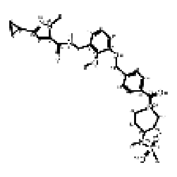 COc1c(CNC(=O)c2cc(C3CC3)nn2C)cccc1OCc1ccc(C(=O)N2CCC(N(C)S(C)(=O)=O)CC2)cc1